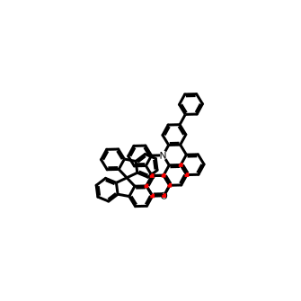 C1=CCCC(c2ccccc2N(c2ccc(-c3ccccc3)cc2-c2ccccc2)c2cccc3c2Oc2c(ccc4c2C2(c5ccccc5-c5ccccc52)c2ccccc2-4)O3)=C1